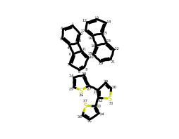 c1ccc2c(c1)-c1ccccc1-2.c1ccc2c(c1)-c1ccccc1-2.c1csc(-c2ccsc2-c2cccs2)c1